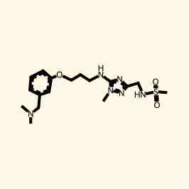 CN(C)Cc1cccc(OCCCNc2nc(CNS(C)(=O)=O)nn2C)c1